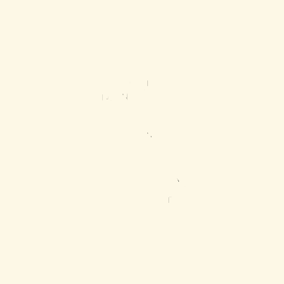 CCO[C@H]1CC[C@H](N2CCC(N(C(=O)O)C(C)(C)C)CC2)CC1